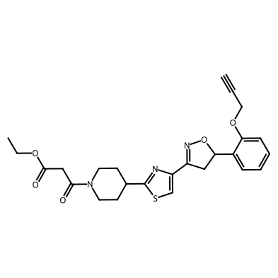 C#CCOc1ccccc1C1CC(c2csc(C3CCN(C(=O)CC(=O)OCC)CC3)n2)=NO1